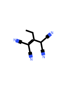 CCC(=C(C#N)C#N)C(C#N)C#N